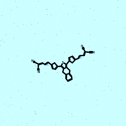 N#CC(C#N)=C/C=C/C1=CC=C(c2sc(C3=CC=C(/C=C/C=C(C#N)C#N)C3)c3c2Cc2ccccc2C3)C1